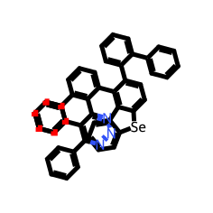 c1ccc(-c2ccccc2-c2ccc3[se]c4ccccc4c3c2-c2cccc(-c3ccccc3)c2-c2nnnc(-c3ccccc3)c2-c2ccccc2)cc1